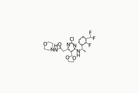 C[C@@H](Nc1nc(Cl)nc(CC(=O)NN2CCOCC2)c1C1OCCO1)c1cccc(C(F)F)c1F